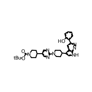 CC(C)(C)OC(=O)N1CCC(c2cnc(N3CCC(c4c[nH]c5nnc(-c6ccccc6O)cc45)CC3)nc2)CC1